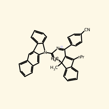 C=C(/N=C(\C1=C(CCC)c2ccccc2C1(C)C)c1ccc(C#N)cc1)n1c2ccccc2c2cc3ccccc3cc21